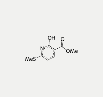 COC(=O)c1ccc(SC)nc1O